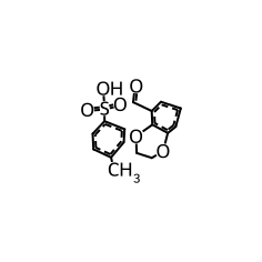 Cc1ccc(S(=O)(=O)O)cc1.O=Cc1cccc2c1OCCO2